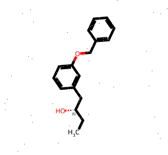 CC[C@H](O)Cc1cccc(OCc2ccccc2)c1